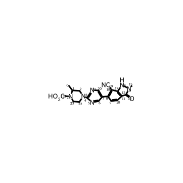 CC1CN(c2ncc(-c3ccc4c(=O)n(C)[nH]c4c3C#N)cn2)CCN1C(=O)O